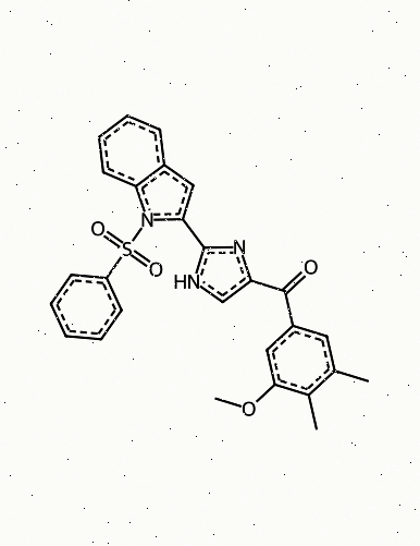 COc1cc(C(=O)c2c[nH]c(-c3cc4ccccc4n3S(=O)(=O)c3ccccc3)n2)cc(C)c1C